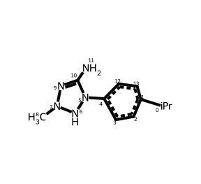 CC(C)c1ccc(N2NN(C)N=C2N)cc1